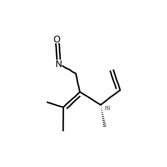 C=C[C@H](C)C(CN=O)=C(C)C